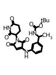 CC(NC(=O)OC(C)(C)C)c1cccc(NC2=CC(=O)N(C3CCC(=O)NC3=O)C2=O)c1